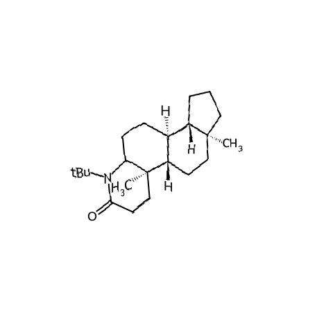 CC(C)(C)N1C(=O)CC[C@@]2(C)C1CC[C@H]1[C@@H]3CCC[C@@]3(C)CC[C@@H]12